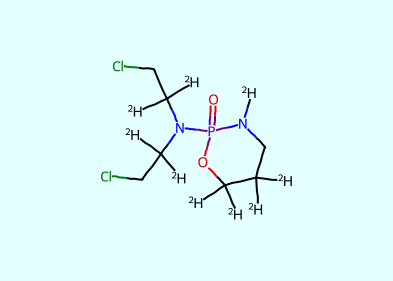 [2H]N1CC([2H])([2H])C([2H])([2H])OP1(=O)N(C([2H])([2H])CCl)C([2H])([2H])CCl